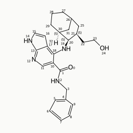 O=C(NCc1ccccc1)c1cnc2[nH]ccc2c1N[C@@H]1[C@H](CCO)CC2CCC[C@H]1C2